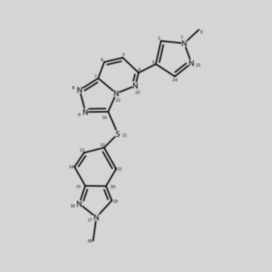 Cn1cc(-c2ccc3nnc(Sc4ccc5nn(C)cc5c4)n3n2)cn1